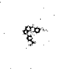 COc1ccc(C)c(Nc2ncc3ccn(-c4ccc(C(=O)O)nc4)c3n2)c1